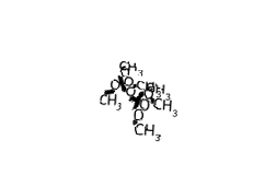 CCCOC(COC)(COCC(COC)(COCC)OCC)OCC